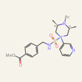 COC(=O)c1ccc(CNS(=O)(=O)[N+]2(c3cccnc3)C[C@@H](C)N(C(C)=O)[C@@H](C)C2)cc1